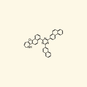 C1=Cc2oc3c(ccc4c(-c5nc(-c6ccc7ccccc7c6)nc(-c6ccc7c(ccc8ccccc87)c6)n5)cccc43)c2NC1